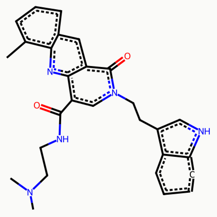 Cc1cccc2cc3c(=O)n(CCc4c[nH]c5ccccc45)cc(C(=O)NCCN(C)C)c3nc12